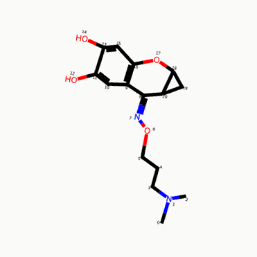 CN(C)CCCON=C1c2cc(O)c(O)cc2OC2CC12